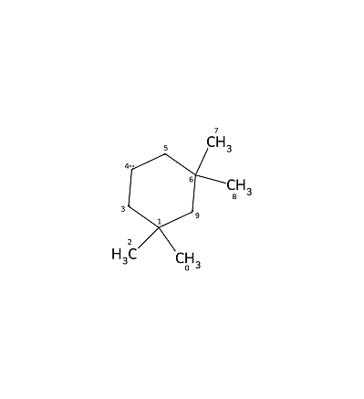 CC1(C)C[C]CC(C)(C)C1